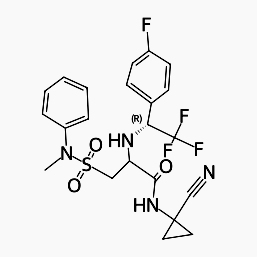 CN(c1ccccc1)S(=O)(=O)CC(N[C@H](c1ccc(F)cc1)C(F)(F)F)C(=O)NC1(C#N)CC1